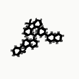 CC1(C)c2ccccc2-c2c(N(c3cccc(-c4ccc5ccccc5c4)c3)c3cccc4c3ccc3c5ccccc5sc43)cccc21